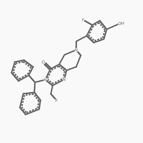 O=c1c2c(nc(CF)n1C(c1ccccc1)c1ccccc1)CCN(Cc1ccc(O)cc1F)C2